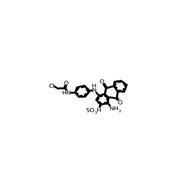 Nc1c(S(=O)(=O)O)cc(Nc2ccc(NC(=O)CCl)cc2)c2c1C(=O)c1ccccc1C2=O